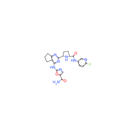 NC(=O)c1cnc(Nc2nc(C3CCC(C(=O)Nc4ccc(F)nc4)N3)nc3c2CCC3)o1